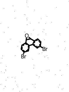 Brc1ccc2c(c1)-c1cc(Br)ccc1C1OC21